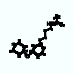 CCC(=O)NCCCCc1cccc(Oc2ccccc2)c1